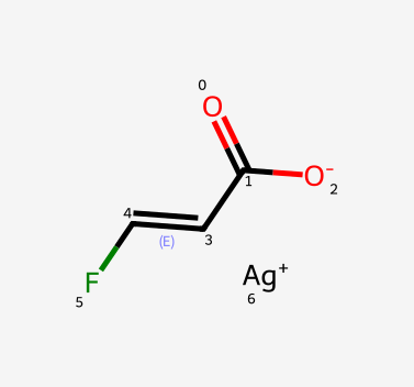 O=C([O-])/C=C/F.[Ag+]